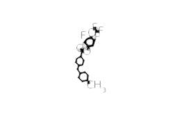 CC1CCC(CC2CCC(C(=O)Oc3ccc(OC(F)(F)F)c(F)c3)CC2)CC1